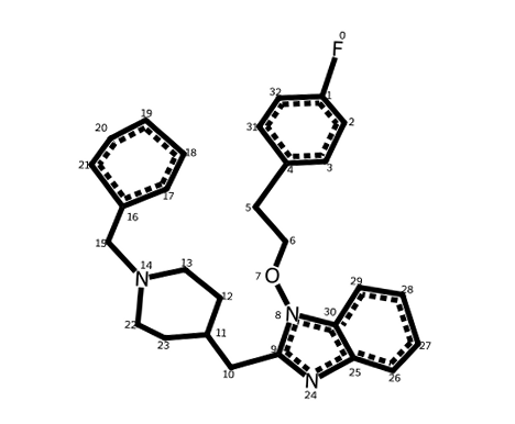 Fc1ccc(CCOn2c(CC3CCN(Cc4ccccc4)CC3)nc3ccccc32)cc1